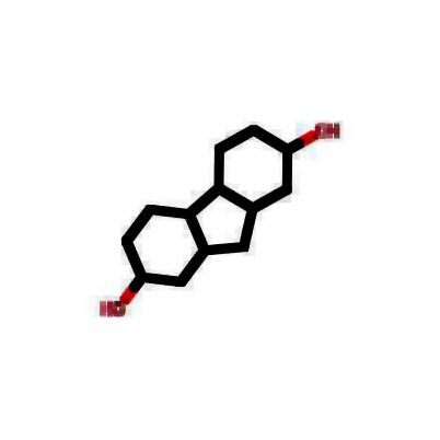 OC1CCC2C(C1)CC1CC(O)CCC12